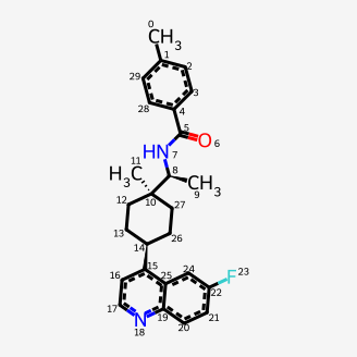 Cc1ccc(C(=O)N[C@@H](C)[C@]2(C)CC[C@H](c3ccnc4ccc(F)cc43)CC2)cc1